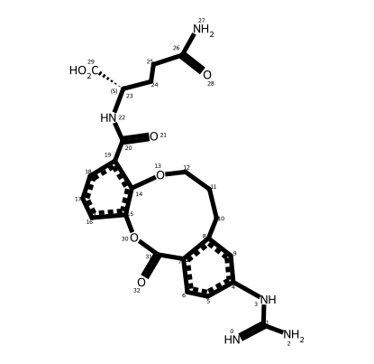 N=C(N)Nc1ccc2c(c1)CCCOc1c(cccc1C(=O)N[C@@H](CCC(N)=O)C(=O)O)OC2=O